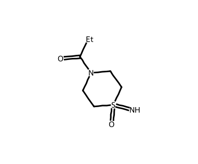 CCC(=O)N1CCS(=N)(=O)CC1